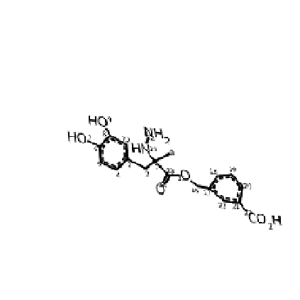 CC(Cc1ccc(O)c(O)c1)(NN)C(=O)OCc1cccc(C(=O)O)c1